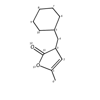 CC1=CC(CC2CCCCC2)C(=O)O1